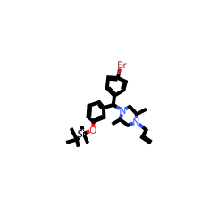 C=CCN1CC(C)N(C(c2ccc(Br)cc2)c2cccc(O[Si](C)(C)C(C)(C)C)c2)CC1C